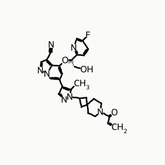 C=CC(=O)N1CCC2(CC1)CC(n1ncc(-c3cc(O[C@@H](CO)c4ccc(F)cn4)c4c(C#N)cnn4c3)c1C)C2